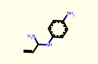 C=CC(N)Nc1ccc(N)cc1